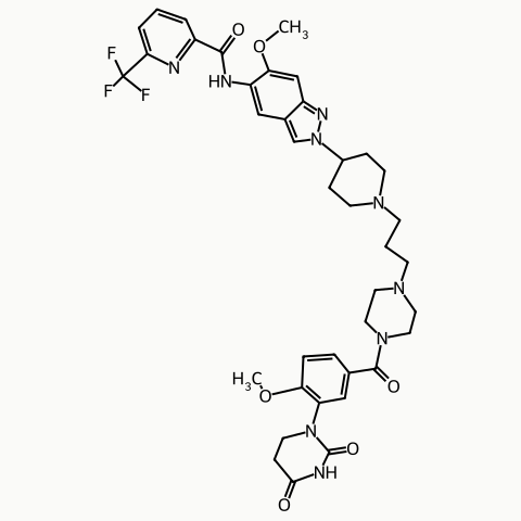 COc1cc2nn(C3CCN(CCCN4CCN(C(=O)c5ccc(OC)c(N6CCC(=O)NC6=O)c5)CC4)CC3)cc2cc1NC(=O)c1cccc(C(F)(F)F)n1